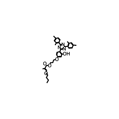 CCCCOC=C(C)C(=O)OCCCOc1ccc(-c2nc(-c3ccc(C)cc3C)nc(-c3ccc(C)cc3C)n2)c(O)c1